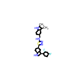 Cc1[nH]c2ccc(CNc3nnc(-c4ccc5[nH]cc(-c6ccc(F)cc6F)c5c4)s3)cc2c1C